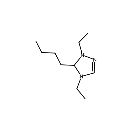 CCCCC1N(CC)C=NN1CC